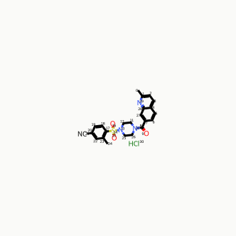 Cc1ccc2ccc(C(=O)N3CCN(S(=O)(=O)c4ccc(C#N)cc4C)CC3)cc2n1.Cl